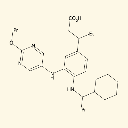 CCC(CC(=O)O)c1ccc(NC(C(C)C)C2CCCCC2)c(Nc2cnc(OC(C)C)nc2)c1